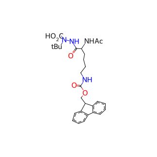 CC(=O)NC(CCCCNC(=O)OCC1c2ccccc2-c2ccccc21)C(=O)NN(C(=O)O)C(C)(C)C